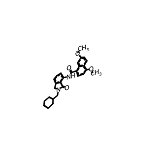 COc1ccc2c(OC)ccc(C(=O)Nc3cccc4c3C(=O)N(CC3CCCCC3)C4)c2c1